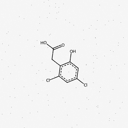 O=C(O)Cc1c(O)cc(Cl)cc1Cl